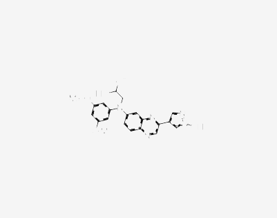 COc1cc(OC)cc(N(CC(O)C(F)(F)F)c2ccc3ncc(-c4cnn(C)c4)nc3c2)c1